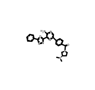 CN(C)[C@@H]1CCN(C(=O)c2ccc(-c3cnc(N)c(-c4nnc(-c5ccccc5)o4)n3)cc2)C1